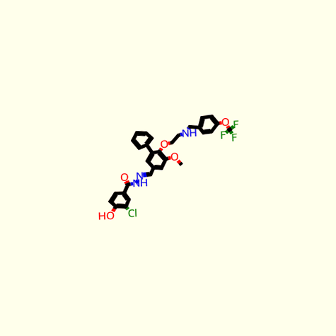 COc1cc(/C=N/NC(=O)c2ccc(O)c(Cl)c2)cc(-c2ccccc2)c1OCCNCc1ccc(OC(F)(F)F)cc1